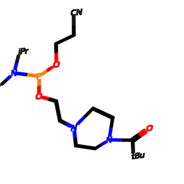 CC(C)N(C(C)C)P(OCCC#N)OCCN1CCN(C(=O)C(C)(C)C)CC1